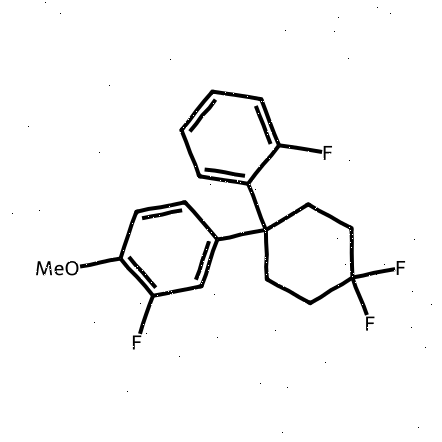 COc1ccc(C2(c3ccccc3F)CCC(F)(F)CC2)cc1F